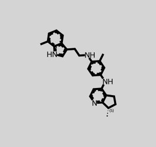 Cc1cc(Nc2ccnc3c2CC[C@@H]3C)ccc1NCCc1c[nH]c2c(C)cccc12